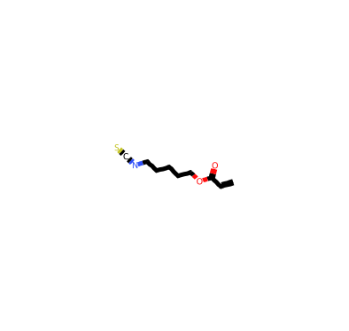 C=CC(=O)OCCCCCN=C=S